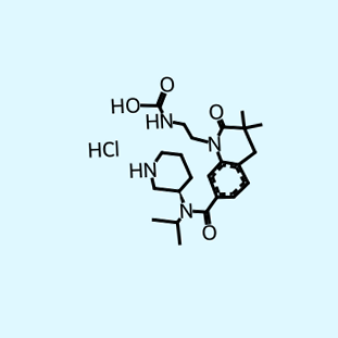 CC(C)N(C(=O)c1ccc2c(c1)N(CCNC(=O)O)C(=O)C(C)(C)C2)[C@@H]1CCCNC1.Cl